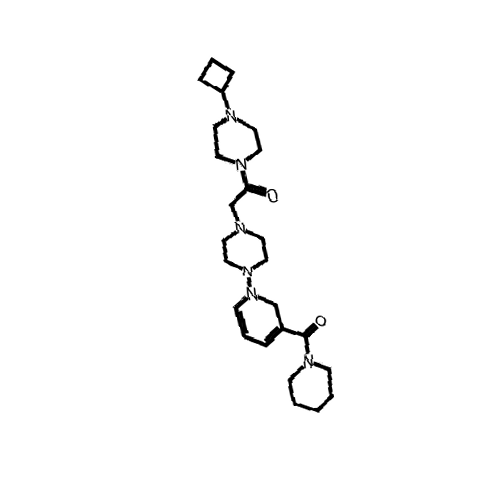 O=C(CN1CCN(N2C=CC=C(C(=O)N3CCCCC3)C2)CC1)N1CCN(C2CCC2)CC1